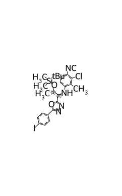 [C-]#[N+]c1ccc(N[C@@H](c2nnc(-c3ccc(I)cc3)o2)[C@H](C)O[Si](C)(C)C(C)(C)C)c(C)c1Cl